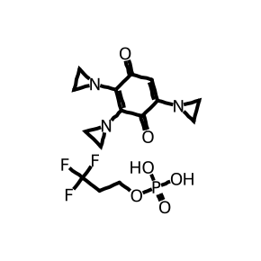 O=C1C=C(N2CC2)C(=O)C(N2CC2)=C1N1CC1.O=P(O)(O)OCCC(F)(F)F